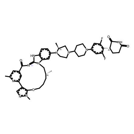 Cc1cc2cc(n1)-c1cnn(C)c1OCCC[C@@H](C)CN1/C(=N/C2=O)Nc2ccc(N3CCN(C4CCN(c5cc(F)c([C@H]6CCC(=O)NC6=O)c(F)c5)CC4)C[C@@H]3C)cc21